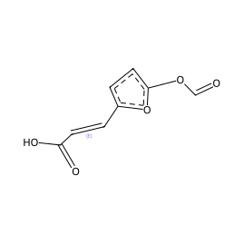 O=COc1ccc(/C=C/C(=O)O)o1